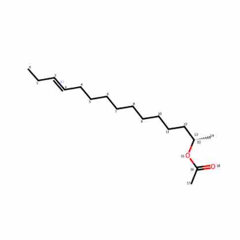 CC/C=C/CCCCCCCCC[C@H](C)OC(C)=O